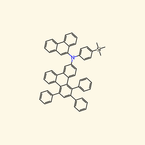 C[Si](C)(C)c1ccc(N(c2ccc3c(c2)c2ccccc2c2c(-c4ccccc4)cc(-c4ccccc4)c(-c4ccccc4)c32)c2cc3ccccc3c3ccccc23)cc1